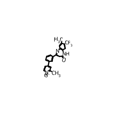 Cc1cc2c(cc1C(F)(F)F)NC(=O)CC(c1cccc(-c3cc[n+]([O-])c(C)c3)c1)=N2